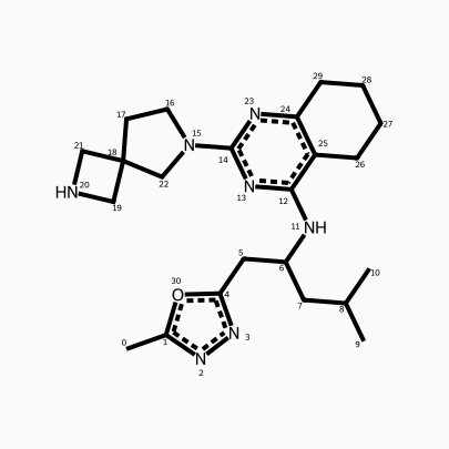 Cc1nnc(CC(CC(C)C)Nc2nc(N3CCC4(CNC4)C3)nc3c2CCCC3)o1